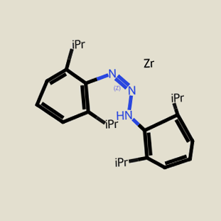 CC(C)c1cccc(C(C)C)c1/N=N\Nc1c(C(C)C)cccc1C(C)C.[Zr]